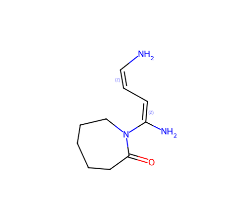 N/C=C\C=C(\N)N1CCCCCC1=O